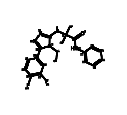 CCn1c(SC(C)(C)C(=O)Nc2ccccc2)nnc1-c1ccc(F)c(F)c1